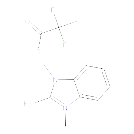 Cn1c(C(F)(F)F)[n+](C)c2ccccc21.O=C([O-])C(F)(F)F